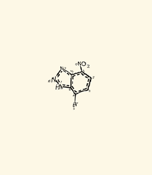 O=[N+]([O-])c1ccc(Br)c2[nH]nnc12